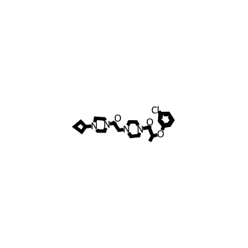 CC(Oc1cccc(Cl)c1)C(=O)N1CCN(CC(=O)N2CCN(C3CCC3)CC2)CC1